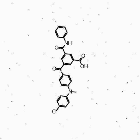 CN(c1ccc(Cl)cc1)c1ccc(C(=O)c2cc(C(=O)O)cc(C(=O)Nc3ccccc3)c2)cc1